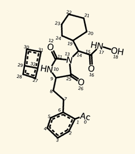 CC(=O)c1ccccc1CCC1NC(=O)N(C(C(=O)NO)C2CCCCC2)C1=O.c1cc2ccc1-2